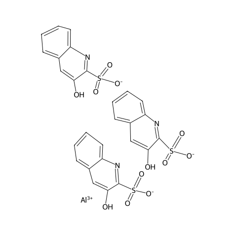 O=S(=O)([O-])c1nc2ccccc2cc1O.O=S(=O)([O-])c1nc2ccccc2cc1O.O=S(=O)([O-])c1nc2ccccc2cc1O.[Al+3]